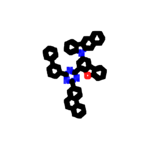 C1=CC(c2ccccc2)=CC(c2nc(-c3ccc4c(ccc5ccccc54)c3)nc(-c3cc(-n4c5ccccc5c5cc6ccccc6cc54)cc4c3oc3ccccc34)n2)C1